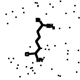 CCCC(Cl)CCCCC(N)CC